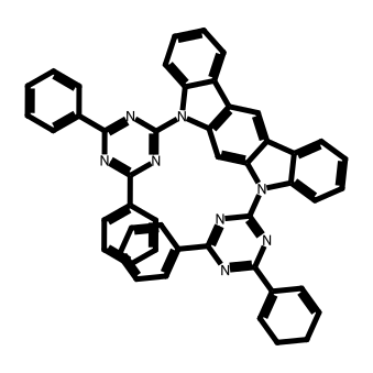 C1=CC(c2nc(-c3ccccc3)nc(-n3c4ccccc4c4cc5c6ccccc6n(-c6nc(-c7ccccc7)nc(-c7ccccc7)n6)c5cc43)n2)=CCC1